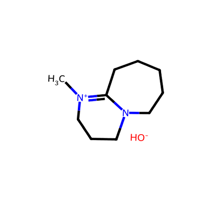 C[N+]1=C2CCCCCN2CCC1.[OH-]